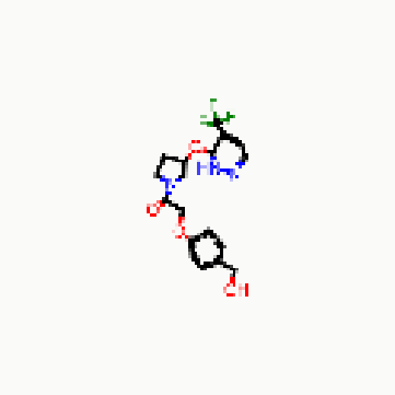 O=C(COc1ccc(CO)cc1)N1CCC(OC2NN=CC=C2C(F)(F)F)C1